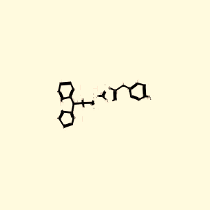 CC(C)(C(=O)Nc1nc(Cc2ccc(Br)cc2)cs1)C1c2ccccc2Oc2ccccc21